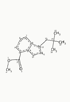 COC(=O)c1cccc2c1cnn2CC(C)(C)C